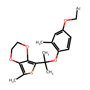 CC(=O)COc1ccc(OC(C)(C)c2sc(C)c3c2OCCO3)c(C)c1